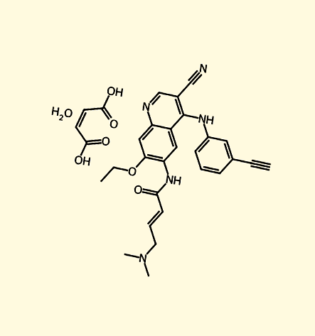 C#Cc1cccc(Nc2c(C#N)cnc3cc(OCC)c(NC(=O)/C=C/CN(C)C)cc23)c1.O.O=C(O)/C=C\C(=O)O